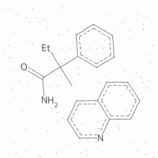 CCC(C)(C(N)=O)c1ccccc1.c1ccc2ncccc2c1